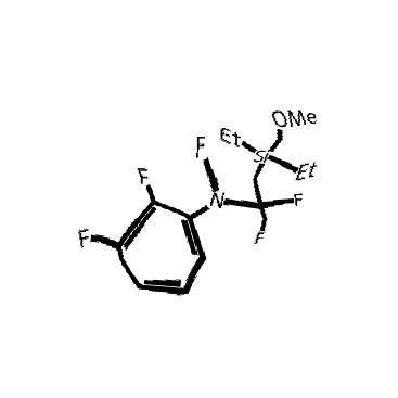 CC[Si](CC)(OC)C(F)(F)N(F)c1cccc(F)c1F